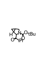 CC(C)C(=O)C1[C@@H]2CC2CN1C(=O)OC(C)(C)C